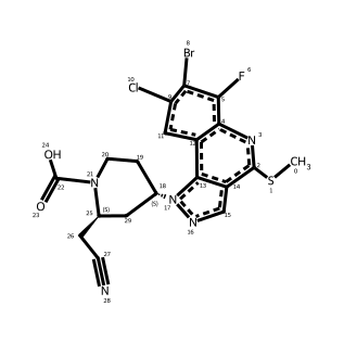 CSc1nc2c(F)c(Br)c(Cl)cc2c2c1cnn2[C@H]1CCN(C(=O)O)[C@H](CC#N)C1